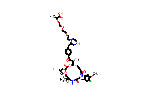 COc1ccc(C[C@H]2NC(=O)C=CC[C@@H]([C@H](C)[C@H]3O[C@@H]3c3ccc(CC4CNCCN4CCOCCOCCOC(C)C(=O)O)cc3)OC(=O)[C@H](CC(C)C)OC(=O)C(C)(C)CNC2=O)cc1Cl